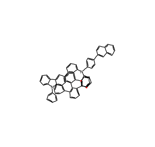 c1ccc(-c2ccccc2-c2c(-c3ccccc3)cccc2-c2cccc(N(c3ccc(-c4ccc5ccccc5c4)cc3)c3cccc(-c4ccc5c(c4)c4ccccc4n5-c4ccccc4)c3)c2)cc1